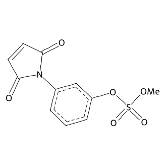 COS(=O)(=O)Oc1cccc(N2C(=O)C=CC2=O)c1